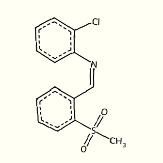 CS(=O)(=O)c1ccccc1/C=N\c1ccccc1Cl